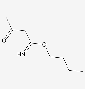 CCCCOC(=N)CC(C)=O